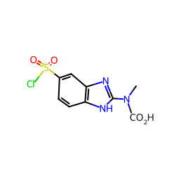 CN(C(=O)O)c1nc2cc(S(=O)(=O)Cl)ccc2[nH]1